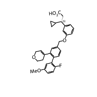 COc1ccc(F)c(-c2ccc(COc3cccc([C@@H](CC(=O)O)C4CC4)c3)cc2C2=CCOCC2)c1